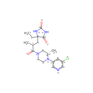 CCC1(CC(C)C(=O)N2CCN(c3cncc(Cl)c3)[C@@H](C)C2)NC(=O)NC1=O